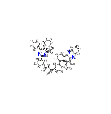 C[Si]1(C)c2ccccc2-c2c(-c3ccccc3)nc(-c3cccc(-c4cccc(-c5cccc(-c6cccc(-c7nc8ccccc8nc7-c7ccccc7)c6)c5)c4)c3)nc21